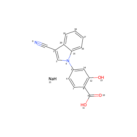 N#Cc1cn(-c2ccc(C(=O)O)c(O)c2)c2ccccc12.[NaH]